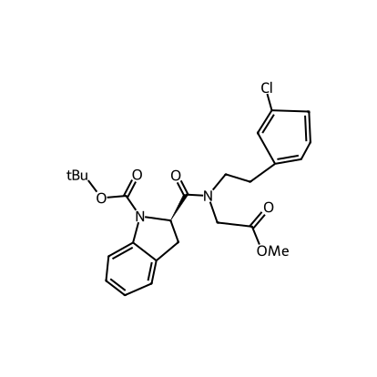 COC(=O)CN(CCc1cccc(Cl)c1)C(=O)[C@H]1Cc2ccccc2N1C(=O)OC(C)(C)C